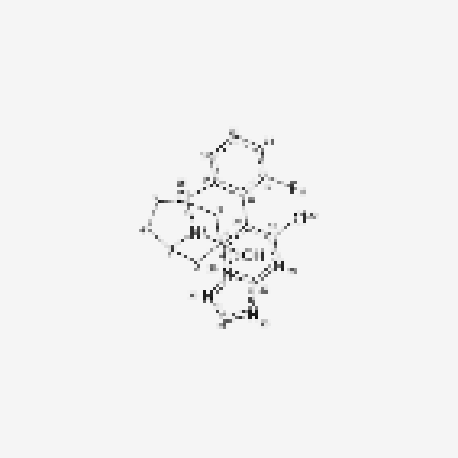 OC1CC2CCC(C1)N2c1c(-c2c(F)cccc2Cl)c(Cl)nc2ncnn12